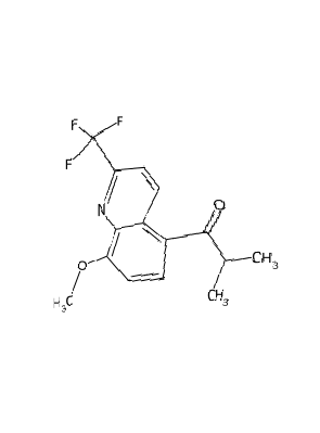 COc1ccc(C(=O)C(C)C)c2ccc(C(F)(F)F)nc12